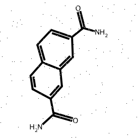 NC(=O)c1ccc2ccc(C(N)=O)cc2c1